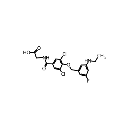 CCNc1cc(F)cc(COc2c(Cl)cc(C(=O)NCC(=O)O)cc2Cl)c1